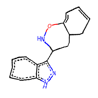 C1=CCC2CC(c3n[nH]c4ccccc34)NOC2=C1